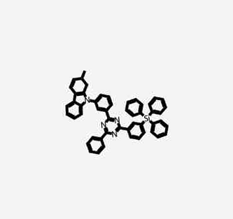 CC1C=Cc2c(n(-c3cccc(-c4nc(-c5ccccc5)nc(-c5cccc([Si](c6ccccc6)(c6ccccc6)c6ccccc6)c5)n4)c3)c3ccccc23)C1